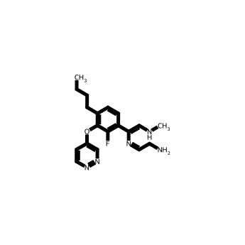 CCCCc1ccc(C(=C/NC)/N=C\CN)c(F)c1Oc1ccnnc1